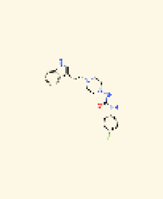 O=C(Nc1ccc(F)cc1)NN1CCN(CCc2c[nH]c3ccccc23)CC1